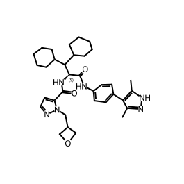 Cc1n[nH]c(C)c1-c1ccc(NC(=O)[C@@H](NC(=O)c2ccnn2CC2COC2)C(C2CCCCC2)C2CCCCC2)cc1